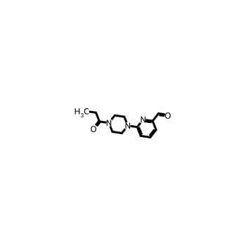 CCC(=O)N1CCN(c2cccc(C=O)n2)CC1